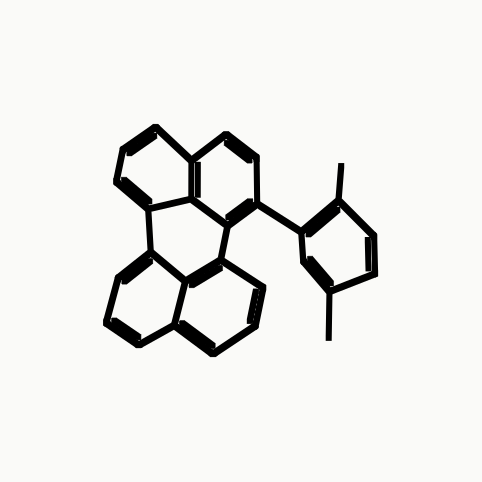 Cc1ccc(C)c(-c2ccc3cccc4c5cccc6cccc(c2c34)c65)c1